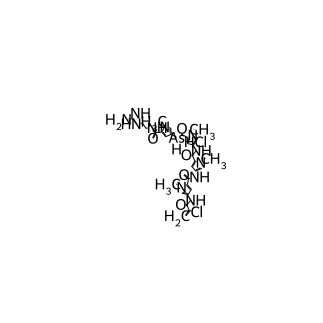 C=C(Cl)C(=O)Nc1cc(C(=O)Nc2cc(C(=O)Nc3cc(C(=O)[AsH]c4cc(C(=O)NCCNC(=N)N)n(C)c4)n(C)c3)n(C)c2)n(C)c1.Cl